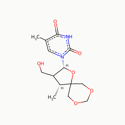 Cc1cn([C@@H]2OC3(COCOC3)[C@H](C)C2CO)c(=O)[nH]c1=O